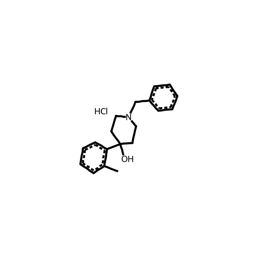 Cc1ccccc1C1(O)CCN(Cc2ccccc2)CC1.Cl